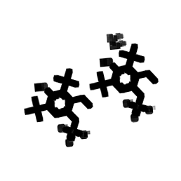 CCc1c(CP(=O)([O-])[O-])cc(C(C)(C)C)c(O)c1C(C)(C)C.CCc1c(CP(=O)([O-])[O-])cc(C(C)(C)C)c(O)c1C(C)(C)C.[Ba+2].[Ba+2]